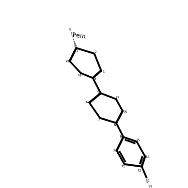 CCC[C@@H](C)C1CCC(C2CCC(c3ccc(F)cc3)CC2)CC1